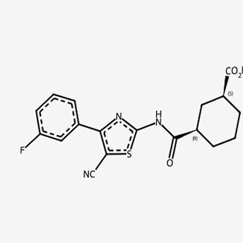 N#Cc1sc(NC(=O)[C@@H]2CCC[C@H](C(=O)O)C2)nc1-c1cccc(F)c1